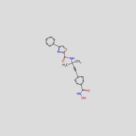 CC(C)(C#Cc1ccc(C(=O)NO)cc1)NC(=O)c1nc(-c2ccccc2)cs1